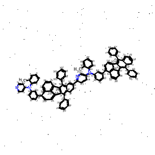 Cc1ccccc1N(c1ccncc1)c1cccc(-c2ccc3c4c(cccc24)-c2c-3c(-c3ccccc3)c3ccc(-c4ccc(N(c5cccc(-c6ccc7c8c(cccc68)-c6c-7c(-c7ccccc7)c7ccccc7c6-c6ccccc6)c5)c5ccccc5C)cn4)cc3c2-c2ccccc2)c1